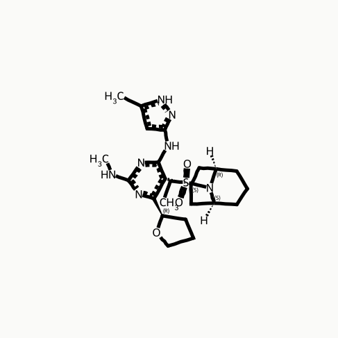 CCS(=O)(=O)N1[C@@H]2CCC[C@H]1C[C@H](c1c(Nc3cc(C)[nH]n3)nc(NC)nc1[C@H]1CCCO1)C2